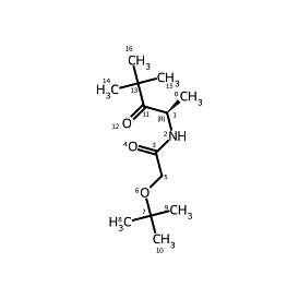 C[C@@H](NC(=O)COC(C)(C)C)C(=O)C(C)(C)C